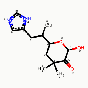 CC1(C)CC(C(Cc2cnc[nH]2)C(C)(C)C)O[C@@H](O)C1=O